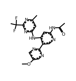 COc1cnc(-c2cnc(NC(C)=O)cc2Nc2cc(C)nc(C(C)(F)F)n2)nc1